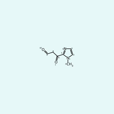 Cn1ccnc1C(=O)CC=O